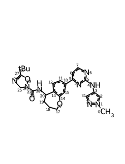 Cn1cc(Nc2nccc(-c3ccc4c(c3)OCCCC4NC(=O)N3CN=C(C(C)(C)C)O3)n2)cn1